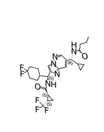 CCCC(=O)N[C@@H](c1cnn2cc([C@@H](NC(=O)[C@H]3C[C@@H]3C(F)(F)F)C3CCC(F)(F)CC3)nc2c1)C1CC1